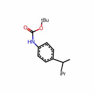 CC(C)C(C)c1ccc(NC(=O)OC(C)(C)C)cc1